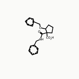 O=C(O)C1(C(=O)NCc2ccccc2)CCCC1OCc1ccccc1